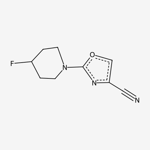 N#Cc1coc(N2CCC(F)CC2)n1